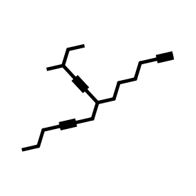 C#CCCCC[C](C#CC(C)CC)CC#CCCC